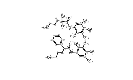 CCCCCCCCCCCCSC(C(=O)Nc1cc(C)c(O)c(C)c1C)c1ccccc1.CCCCCCCCCCCCSC(C)(C)C(=O)Nc1cc(C)c(O)c(C)c1C